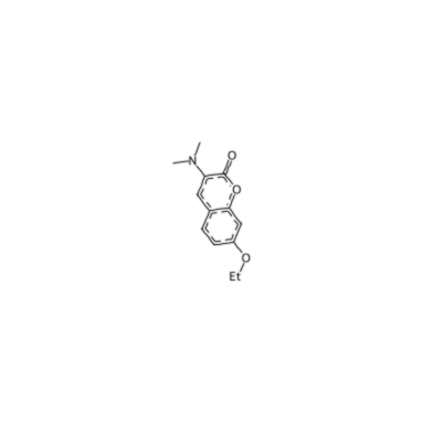 CCOc1ccc2cc(N(C)C)c(=O)oc2c1